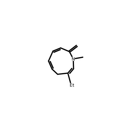 C=C1/C=C\C=C/C/C(CC)=C\N1C